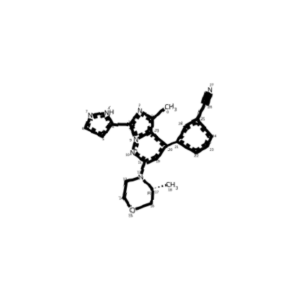 Cc1nc(-c2ccn[nH]2)n2nc(N3CCOC[C@H]3C)cc(-c3cccc(C#N)c3)c12